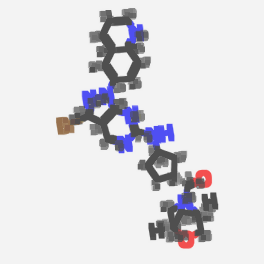 O=C([C@@H]1CC[C@@H](Nc2ncc3c(Br)nn(-c4ccc5ncccc5c4)c3n2)C1)N1C[C@H]2C[C@@H]1CO2